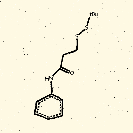 CC(C)(C)SSCCC(=O)Nc1ccccc1